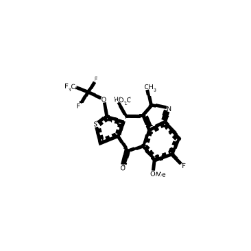 COc1c(F)cc2c(c1C(=O)c1csc(OC(F)(F)C(F)(F)F)c1)=C(CC(=O)O)C(C)N=2